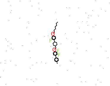 CCCCCCCOc1ccc(C2CCC(COc3ccc(-c4ccc(C)cc4)c(F)c3F)CC2)c(F)c1